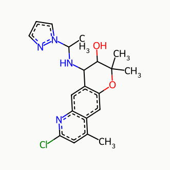 Cc1cc(Cl)nc2cc3c(cc12)OC(C)(C)C(O)C3NC(C)n1cccn1